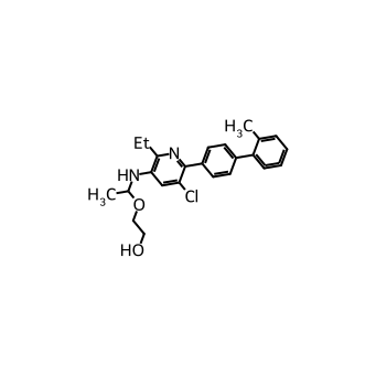 CCc1nc(-c2ccc(C3=C=C=CC=C3C)cc2)c(Cl)cc1NC(C)OCCO